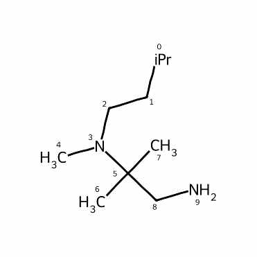 CC(C)CCN(C)C(C)(C)CN